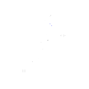 C#CC(CCCCCCCCC)N1CCC1